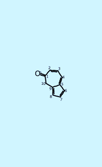 O=C1C=CC=C2C=CC=C2C1